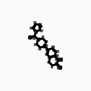 O=C1CCc2cc(N3CCN(C(=O)n4ccnc4)CC3)ccc2N1